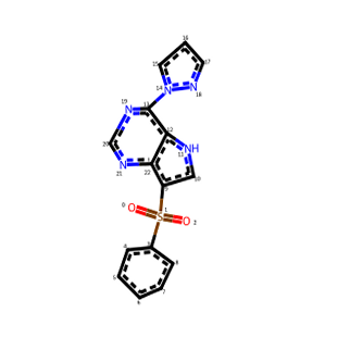 O=S(=O)(c1ccccc1)c1c[nH]c2c(-n3cccn3)ncnc12